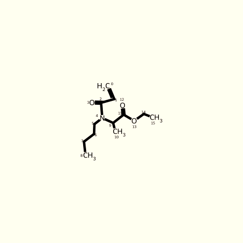 C=CC(=O)N(CCCC)C(C)C(=O)OCC